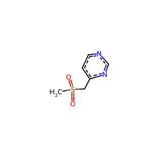 [CH2]S(=O)(=O)Cc1ccncn1